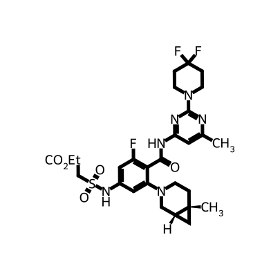 CCOC(=O)CS(=O)(=O)Nc1cc(F)c(C(=O)Nc2cc(C)nc(N3CCC(F)(F)CC3)n2)c(N2CC[C@]3(C)C[C@@H]3C2)c1